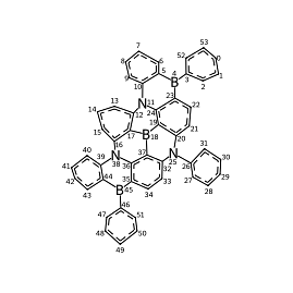 c1ccc(B2c3ccccc3N3c4cccc5c4B4c6c(ccc2c63)N(c2ccccc2)c2ccc3c(c24)N5c2ccccc2B3c2ccccc2)cc1